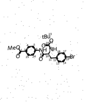 COC(=O)c1ccc(NC(=O)[C@H](Cc2ccc(Br)cc2)NC(=O)OC(C)(C)C)cc1